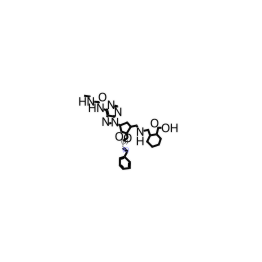 CCNC(=O)Nc1ncnc2c1ncn2C1CC(CNCC2CCCCC2C(=O)O)C2O[C@H](/C=C/c3ccccc3)OC21